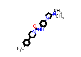 CN(C)C1CCN(c2ccc(NC(=O)N3CCC(c4ccc(C(F)(F)F)cc4)CC3)cc2)C1